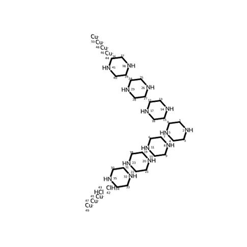 C1CNCCN1.C1CNCCN1.C1CNCCN1.C1CNCCN1.C1CNCCN1.C1CNCCN1.C1CNCCN1.Cl.Cl.[Cu].[Cu].[Cu].[Cu].[Cu].[Cu].[Cu]